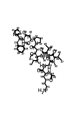 CC[C@H](C)[C@@H](C(CC(=O)N1CCC[C@H]1C(OC)[C@@H](C)C(=O)N[C@@H](Cc1ccccc1)c1nccs1)OC)N(C)C(=O)[C@@H](NC(=O)C(C(C)C)N(C)C(=O)CNC(=O)C(CCCCN)NC(C)=O)C(C)C